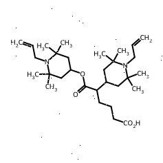 C=CCN1C(C)(C)CC(OC(=O)C(CCCC(=O)O)C2CC(C)(C)N(CC=C)C(C)(C)C2)CC1(C)C